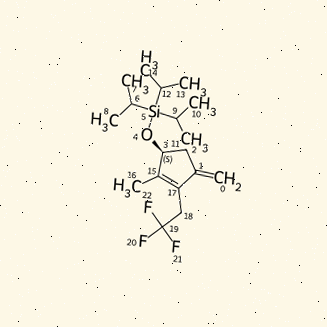 C=C1C[C@H](O[Si](C(C)C)(C(C)C)C(C)C)C(C)=C1CC(F)(F)F